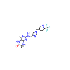 Cc1nc(NCc2cn(Cc3ccc(C(F)(F)F)nc3)cn2)nc2c1NC(=O)[C@H](C)N2C